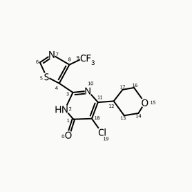 O=c1[nH]c(-c2scnc2C(F)(F)F)nc(C2CCOCC2)c1Cl